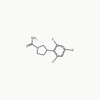 NC(=S)N1CCC(c2c(F)cc(F)cc2F)C1